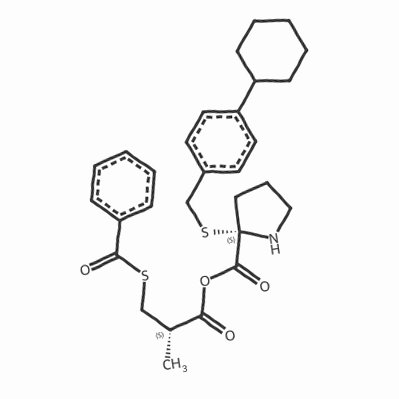 C[C@H](CSC(=O)c1ccccc1)C(=O)OC(=O)[C@@]1(SCc2ccc(C3CCCCC3)cc2)CCCN1